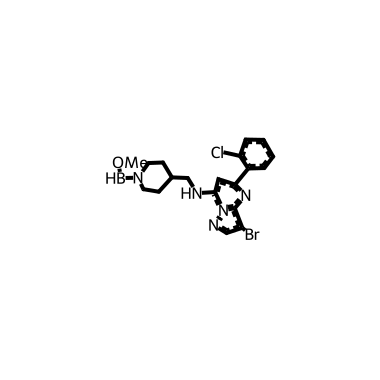 COBN1CCC(CNc2cc(-c3ccccc3Cl)nc3c(Br)cnn23)CC1